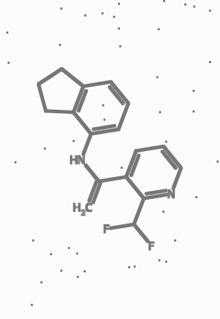 C=C(Nc1cccc2c1CCC2)c1cccnc1C(F)F